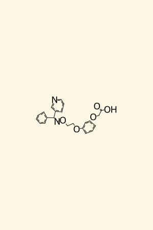 O=C(O)COc1cccc(OCCON=C(c2ccccc2)c2cccnc2)c1